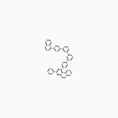 c1ccc(-c2nc(-c3ccc(-c4cccc(-c5cccc(-c6ccc(-c7cccc8ccccc78)cc6)c5)c4)cc3)c3c(ccc4ccccc43)n2)cc1